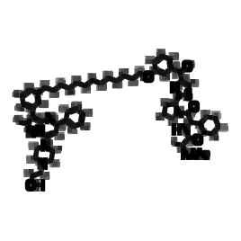 CN[C@@H](C)C(=O)N[C@H](C(=O)N1CCC[C@H]1c1nc(C(=O)c2cccc(OCCCCCCCCCCCCCc3cccc(-c4c(C)nn5c(N6CCN(CCO)CC6)cc(-c6ccccc6)nc45)c3)c2)cs1)C1CCCCC1